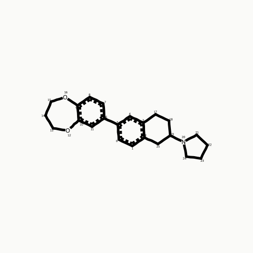 c1cc2c(cc1-c1ccc3c(c1)OCCCO3)CCC(N1CCCC1)C2